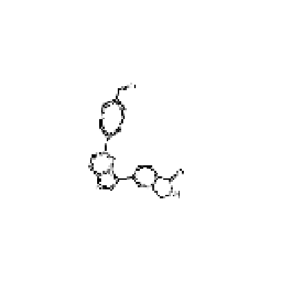 O=Cc1ccc(-c2ccc3ncc(-c4ccc5c(c4)CNC5=O)n3n2)cc1